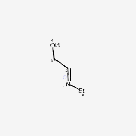 CC/N=C/[CH]O